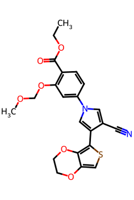 CCOC(=O)c1ccc(-n2cc(C#N)c(-c3scc4c3OCCO4)c2)cc1OCOC